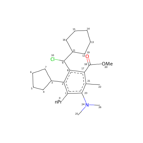 CCCc1c(C2CCCC2)c([C](Cl)C2CCCCC2)c(C(=O)OC)c(C)c1N(C)C